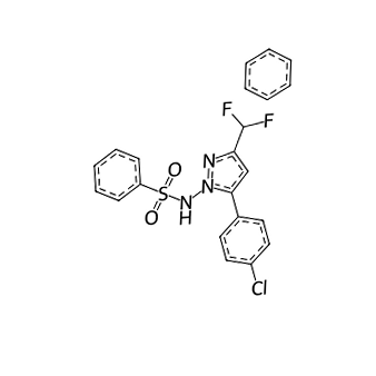 O=S(=O)(Nn1nc(C(F)F)cc1-c1ccc(Cl)cc1)c1ccccc1.c1ccccc1